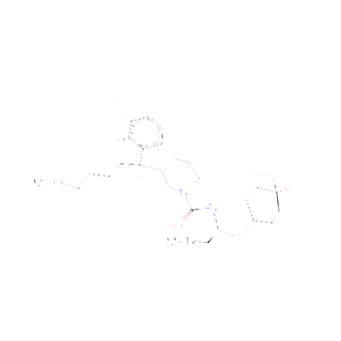 CNC[C@H](CC1CCC(C)(O)CC1)NC(=O)N1CCC[C@@H]([C@@](O)(CCCCOC)c2cccc(F)c2F)C1